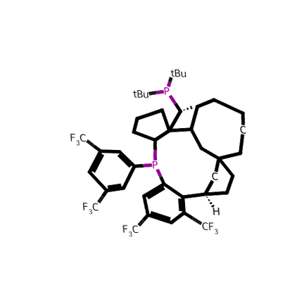 C[C@@H](P(C(C)(C)C)C(C)(C)C)C12CCCC1P(c1cc(C(F)(F)F)cc(C(F)(F)F)c1)c1cc(C(F)(F)F)cc(C(F)(F)F)c1[C@@H]1CCC3(CCCCCC2C3)C1